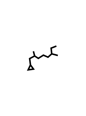 CCC(C)CCCC(C)CC1CC1